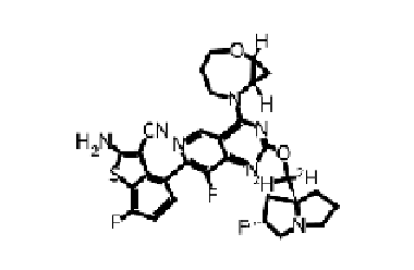 [2H]C([2H])(Oc1nc(N2CCCO[C@@H]3C[C@@H]32)c2cnc(-c3ccc(F)c4sc(N)c(C#N)c34)c(F)c2n1)[C@@]12CCCN1C[C@H](F)C2